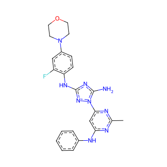 Cc1nc(Nc2ccccc2)cc(-n2nc(Nc3ccc(N4CCOCC4)cc3F)nc2N)n1